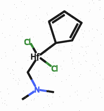 CN(C)[CH2][Hf]([Cl])([Cl])[CH]1C=CC=C1